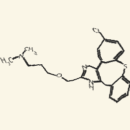 CN(C)CCCOCc1nc2c([nH]1)-c1ccccc1Sc1ccc(Cl)cc1-2